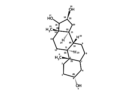 C[C@]12CC[C@@H](O)CC1CC[C@@H]1[C@@H]2CC[C@]2(C)C(O)[C@@H](O)C[C@@H]12